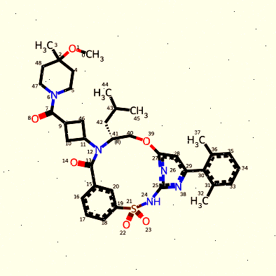 COC1(C)CCN(C(=O)C2CC(N3C(=O)c4cccc(c4)S(=O)(=O)Nc4nc(cc(-c5c(C)cccc5C)n4)OC[C@H]3CC(C)C)C2)CC1